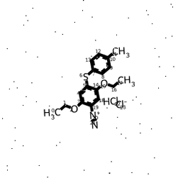 CCOc1cc(Sc2ccc(C)cc2)c(OCC)cc1[N+]#N.Cl.[Cl-]